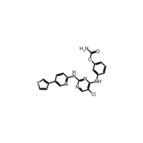 NC(=O)Oc1cccc(Nc2nc(Nc3ccc(-c4ccsc4)cn3)ncc2Cl)c1